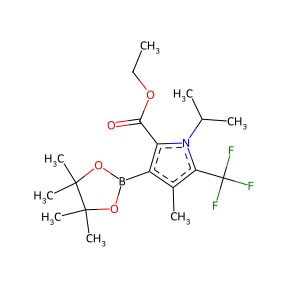 CCOC(=O)c1c(B2OC(C)(C)C(C)(C)O2)c(C)c(C(F)(F)F)n1C(C)C